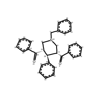 O=C(c1ccccc1)[C@H]1CN(Cc2ccccc2)C[C@@H](C(=O)c2ccccc2)[C@@H]1c1ccccc1